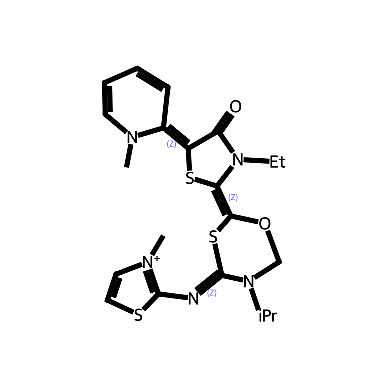 CCn1c(=O)/c(=C2\C=CC=CN2C)s/c1=C1/OCN(C(C)C)/C(=N/c2scc[n+]2C)S1